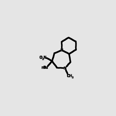 CCCCC1([N+](=O)[O-])CN(C)CC2CCCCN2C1